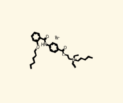 CCCCCCOc1ccccc1C(=O)Nc1ccc(C(=O)OCC[N+](CC)(CC)CCCCC)cc1.[Br-]